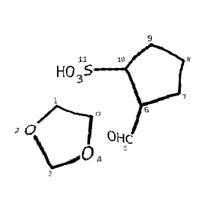 C1COCO1.O=CC1CCCC1S(=O)(=O)O